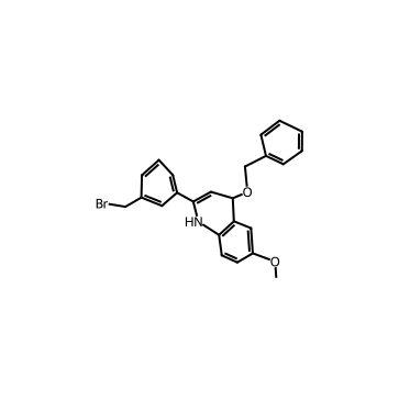 COc1ccc2c(c1)C(OCc1ccccc1)C=C(c1cccc(CBr)c1)N2